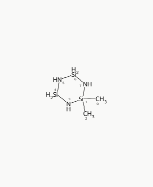 C[Si]1(C)N[SiH2]N[SiH2]N1